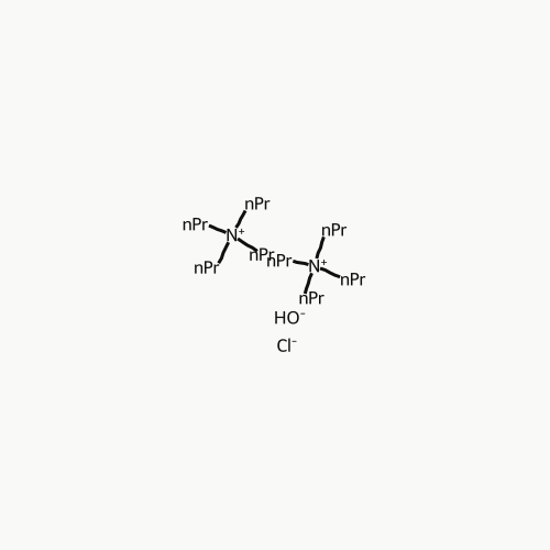 CCC[N+](CCC)(CCC)CCC.CCC[N+](CCC)(CCC)CCC.[Cl-].[OH-]